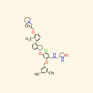 Cc1c(OCCCN2CCCC[C@@H]2C)cccc1-c1cccc2c1CC[C@@H]2Oc1cc(OCc2cc(C#N)cc(C#N)c2)c(CNC[C@@H]2CCC(=O)N2)cc1Cl